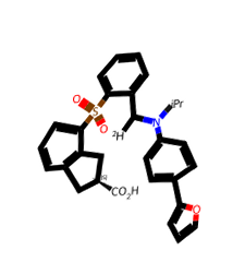 [2H]C(c1ccccc1S(=O)(=O)c1cccc2c1C[C@@H](C(=O)O)C2)N(c1ccc(-c2ccco2)cc1)C(C)C